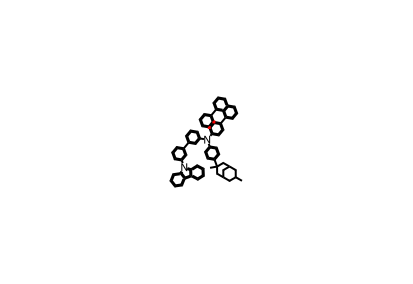 CC1CC2CC(C1)CC(C)(c1ccc(N(c3ccc(-c4cccc5cccc(-c6ccccc6)c45)cc3)c3cccc(-c4cccc(-n5c6ccccc6c6ccccc65)c4)c3)cc1)C2